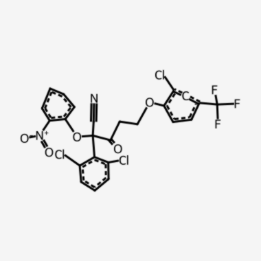 N#CC(Oc1ccccc1[N+](=O)[O-])(C(=O)CCOc1ccc(C(F)(F)F)cc1Cl)c1c(Cl)cccc1Cl